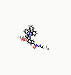 CCCCNC(=O)c1ccc2cc(C(O)(c3cn(C(c4ccccc4)(c4ccccc4)c4ccccc4)cn3)C(C)C)ccc2c1